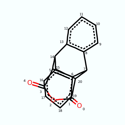 O=C1OC(=O)C2=C1C1c3ccccc3C2c2ccccc21